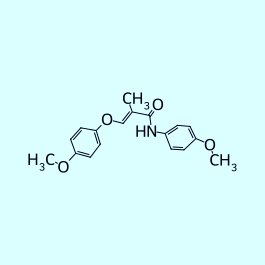 COc1ccc(NC(=O)C(C)=COc2ccc(OC)cc2)cc1